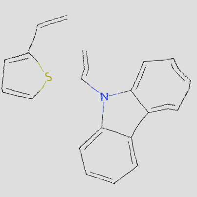 C=Cc1cccs1.C=Cn1c2ccccc2c2ccccc21